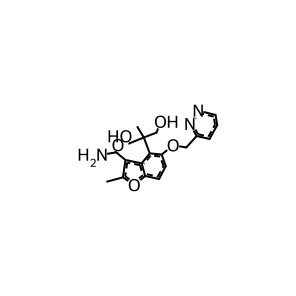 Cc1oc2ccc(OCc3cccnn3)c(C(C)(CO)CO)c2c1C(N)=O